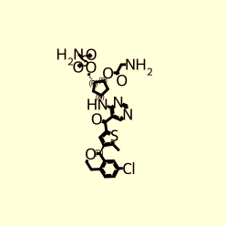 Cc1sc(C(=O)c2cncnc2N[C@@H]2C[C@H](COS(N)(=O)=O)[C@@H](OC(=O)CN)C2)cc1[C@@H]1OCCc2ccc(Cl)cc21